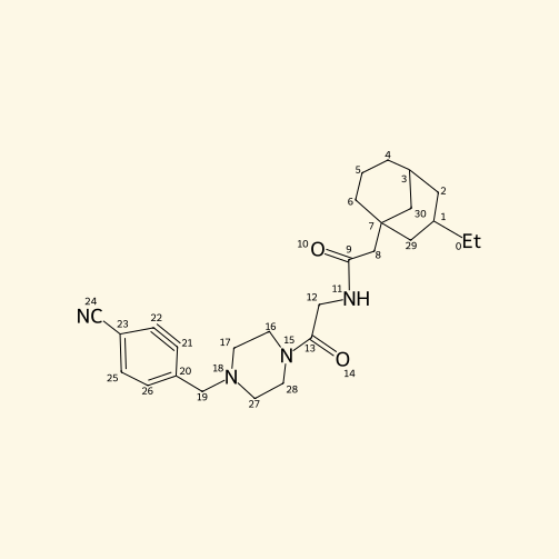 CCC1CC2CCCC(CC(=O)NCC(=O)N3CCN(Cc4c#cc(C#N)cc4)CC3)(C1)C2